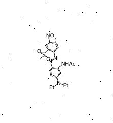 CCN(CC)c1ccc(N=Nc2ccc([N+](=O)[O-])cc2S(C)(=O)=O)c(NC(C)=O)c1